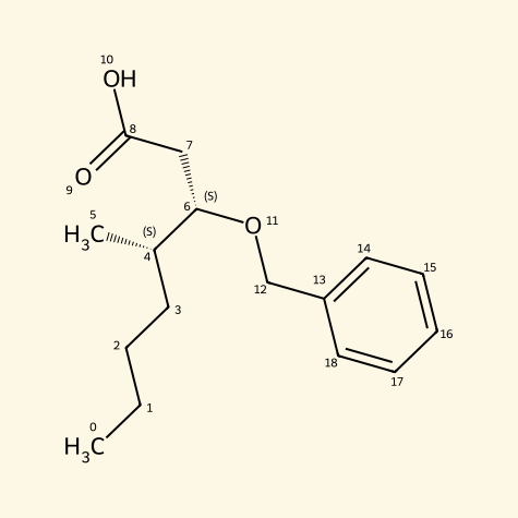 CCCC[C@H](C)[C@H](CC(=O)O)OCc1ccccc1